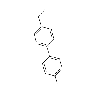 OCc1ccc(-c2ccc(F)nc2)nc1